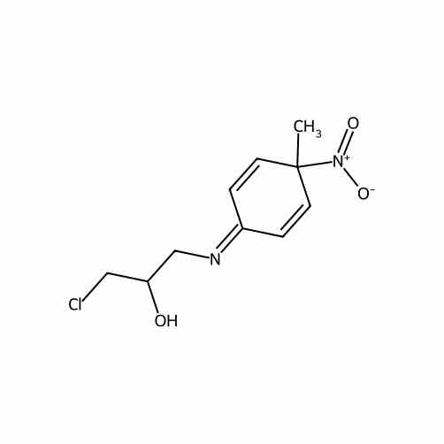 CC1([N+](=O)[O-])C=CC(=NCC(O)CCl)C=C1